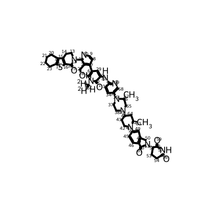 [2H]C([2H])([2H])n1cc(-c2ccnc(N3CCc4c(sc5c4CCCC5)C3=O)c2CO)cc(Nc2ccc(N3CCN([C@@H]4CCN(c5ccc6c(c5)CN([C@H]5CCC(=O)NC5=O)C6=O)[C@H](C)C4)C[C@@H]3C)cn2)c1=O